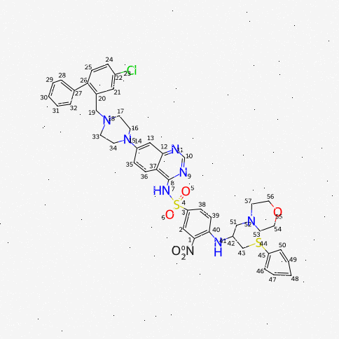 O=[N+]([O-])c1cc(S(=O)(=O)Nc2ncnc3cc(N4CCN(Cc5cc(Cl)ccc5-c5ccccc5)CC4)ccc23)ccc1NC(CSc1ccccc1)CN1CCOCC1